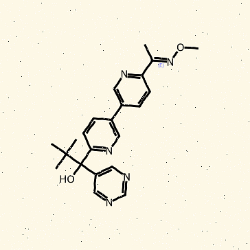 CO/N=C(\C)c1ccc(-c2ccc(C(O)(c3cncnc3)C(C)(C)C)nc2)cn1